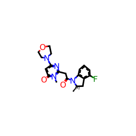 C[C@@H]1Cc2c(F)cccc2N1C(=O)Cc1nc(N2CCOCC2)cc(=O)n1C